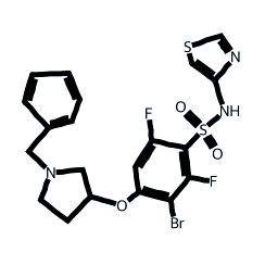 O=S(=O)(Nc1cscn1)c1c(F)cc(OC2CCN(Cc3ccccc3)C2)c(Br)c1F